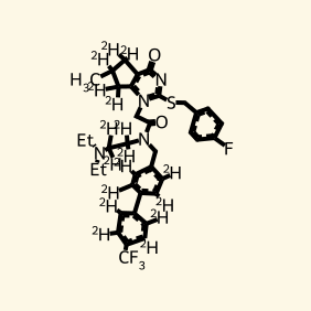 [2H]c1c([2H])c(-c2c([2H])c([2H])c(C(F)(F)F)c([2H])c2[2H])c([2H])c([2H])c1CN(C(=O)Cn1c(SCc2ccc(F)cc2)nc(=O)c2c1C([2H])([2H])C([2H])(C)C2([2H])[2H])C([2H])([2H])C([2H])([2H])N(CC)CC